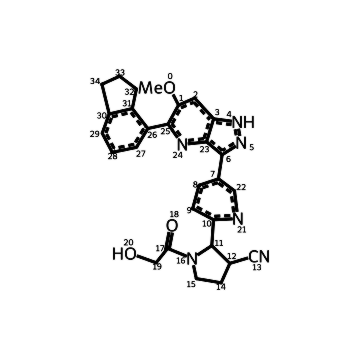 COc1cc2[nH]nc(-c3ccc(C4C(C#N)CCN4C(=O)CO)nc3)c2nc1-c1cccc2c1CCC2